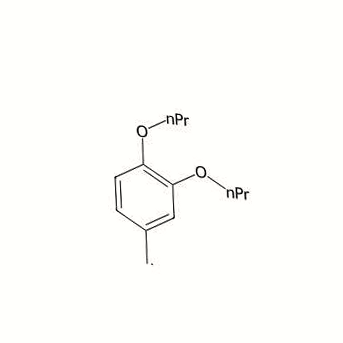 [CH2]c1ccc(OCCC)c(OCCC)c1